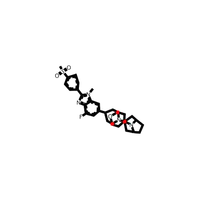 Cn1c(-c2ccc(S(C)(=O)=O)cc2)nc2c(F)cc(C3CCN(C4CC5CCC(C4)N5C4CCOCC4)CC3)cc21